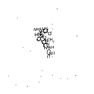 COc1ncc(Cl)cc1S(=O)(=O)Nc1cccc(-c2cc3cnc(NC4CCC(=O)NC4)nc3n(C)c2=O)c1F